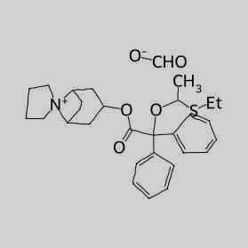 CCSC(C)OC(C(=O)OC1CC2CCC(C1)[N+]21CCCC1)(c1ccccc1)c1ccccc1.O=C[O-]